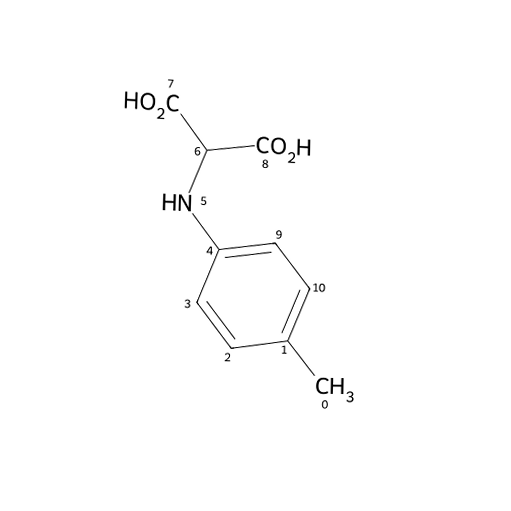 Cc1ccc(NC(C(=O)O)C(=O)O)cc1